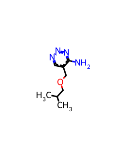 CC(C)COCc1cnnnc1N